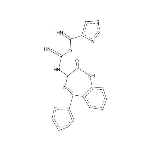 N=C(NC1N=C(c2ccccc2)c2ccccc2NC1=O)OC(=N)c1cscn1